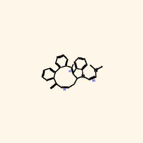 C=C1/C=C\CC2/C(=C(\C)c3ccccc3-c3ccccc31)c1ccccc1N2/C=C\N(C)C